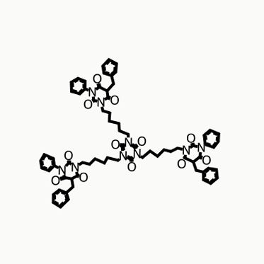 O=C1C(Cc2ccccc2)C(=O)N(c2ccccc2)C(=O)N1CCCCCCn1c(=O)n(CCCCCCN2C(=O)C(Cc3ccccc3)C(=O)N(c3ccccc3)C2=O)c(=O)n(CCCCCCN2C(=O)C(Cc3ccccc3)C(=O)N(c3ccccc3)C2=O)c1=O